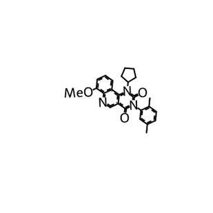 COc1cccc2c1ncc1c(=O)n(-c3cc(C)ccc3C)c(=O)n(C3CCCC3)c12